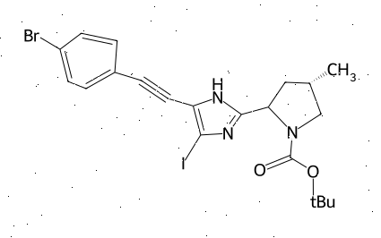 C[C@H]1CC(c2nc(I)c(C#Cc3ccc(Br)cc3)[nH]2)N(C(=O)OC(C)(C)C)C1